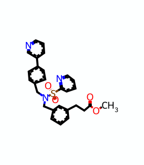 COC(=O)CCc1cccc(CN(Cc2ccc(-c3cccnc3)cc2)S(=O)(=O)c2ccccn2)c1